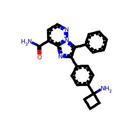 NC(=O)c1ccnn2c(-c3ccccc3)c(-c3ccc(C4(N)CCC4)cc3)nc12